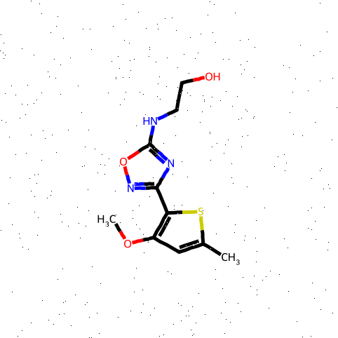 COc1cc(C)sc1-c1noc(NCCO)n1